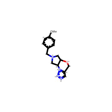 COc1ccc(CN2CC3OCc4cnnn4C3C2)cc1